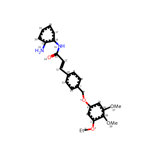 CCOc1cc(OCc2ccc(/C=C/C(=O)Nc3ccccc3N)cc2)cc(OC)c1OC